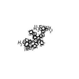 CCCCc1ccc2sc3c(c2c1)N(c1ccc2c(c1)C(C)(C)CCC2(C)C)c1cc2c(oc4ccccc42)c2c1B3N(c1ccccc1)c1cc3oc4cc5c(cc4c3cc1-2)C(C)(C)CCC5(C)C